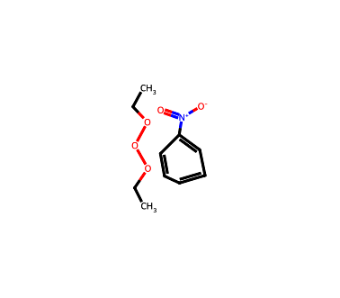 CCOOOCC.O=[N+]([O-])c1ccccc1